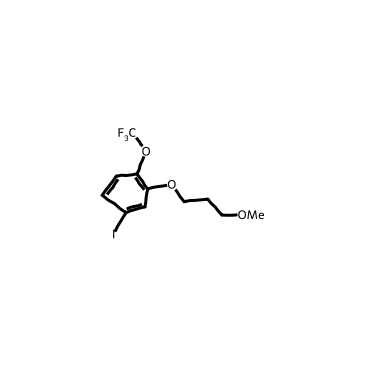 COCCCOc1cc(I)ccc1OC(F)(F)F